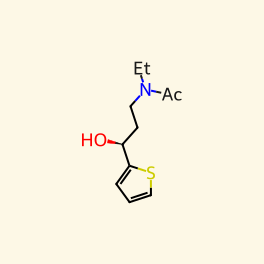 CCN(CC[C@H](O)c1cccs1)C(C)=O